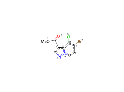 COC(=O)c1cnn2ccc(Br)c(Cl)c12